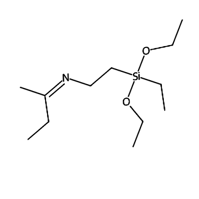 CCO[Si](CC)(CCN=C(C)CC)OCC